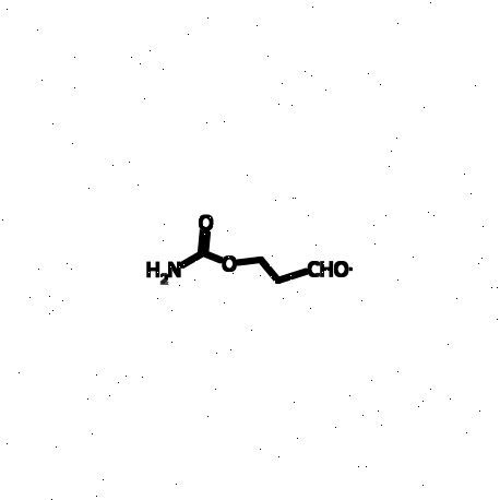 NC(=O)OCC[C]=O